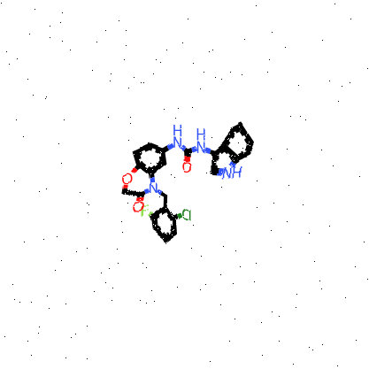 O=C(Nc1ccc2c(c1)N(Cc1c(F)cccc1Cl)C(=O)CO2)Nc1c[nH]c2ccccc12